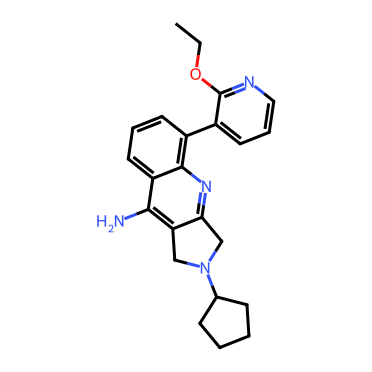 CCOc1ncccc1-c1cccc2c(N)c3c(nc12)CN(C1CCCC1)C3